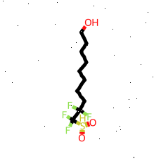 O=[SH](=O)C(F)(F)C(F)(F)CCCCCCCCO